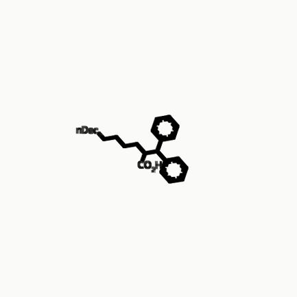 CCCCCCCCCCCCCCC(C(=O)O)C(c1ccccc1)c1ccccc1